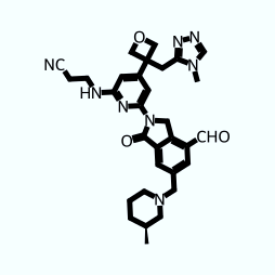 C[C@H]1CCCN(Cc2cc(C=O)c3c(c2)C(=O)N(c2cc(C4(Cc5nncn5C)COC4)cc(NCCC#N)n2)C3)C1